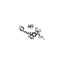 CCn1c(=O)[nH]c2cc3c(NCCCN4CCOCC4)ncnc3cc21.Cl.Cl